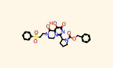 O=C1c2c(O)c(=O)nc(C3CCCN3C(=O)OCc3ccccc3)n2CCN1CCS(=O)(=O)c1ccccc1